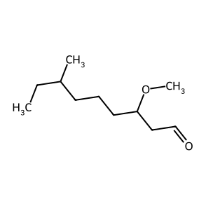 CCC(C)CCCC(CC=O)OC